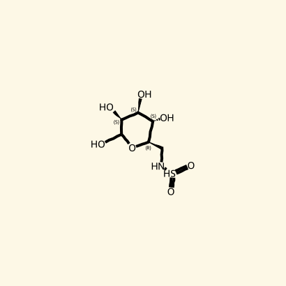 O=[SH](=O)NC[C@H]1OC(O)[C@@H](O)[C@@H](O)[C@@H]1O